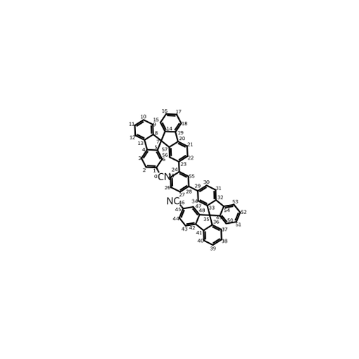 N#Cc1ccc2c(c1)C1(c3ccccc3-2)c2ccccc2-c2ccc(-c3cccc(-c4ccc5c(c4)C4(c6ccccc6-c6ccc(C#N)cc64)c4ccccc4-5)c3)cc21